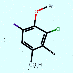 Cc1c(C(=O)O)cc(I)c(OC(C)C)c1Cl